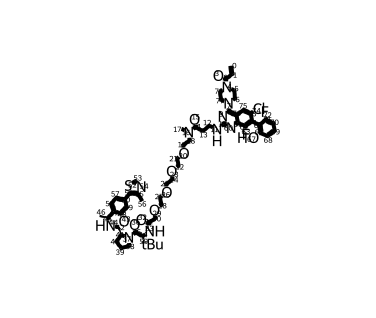 C=CC(=O)N1CCN(c2nc(NCCC(=O)N(C)CCOCCOCCOCCOCC(=O)N[C@H](C(=O)N3CCC[C@H]3C(=O)N[C@@H](C)c3ccc(-c4scnc4C)cc3)C(C)(C)C)nc3c(F)c(-c4c(O)cccc4F)c(Cl)cc23)CC1